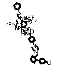 CCCN(CCC)CC[C@H](CSc1ccccc1)Nc1ccc(S(=O)(=O)NC(=O)c2ccc(N3CCN(Cc4ccccc4-c4ccc(Cl)cc4)CC3)cc2)cc1S(=O)(=O)C(F)(F)F